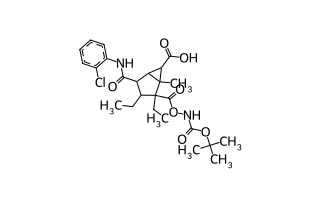 CCC1C(C(=O)Nc2ccccc2Cl)C2C(C(=O)O)C2(C)C1(CC)C(=O)ONC(=O)OC(C)(C)C